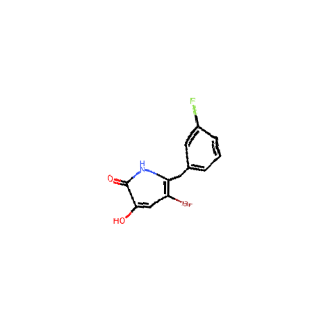 O=c1[nH]c(-c2cccc(F)c2)c(Br)cc1O